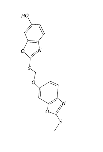 CSc1nc2ccc(OCSc3nc4ccc(O)cc4o3)cc2o1